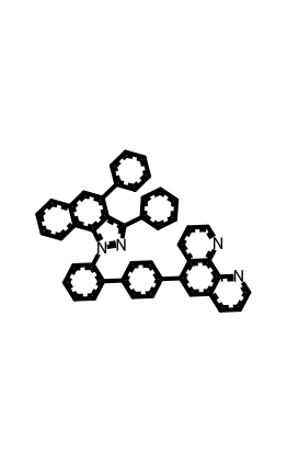 c1ccc(-c2cc3ccccc3c3c2c(-c2ccccc2)nn3-c2ccccc2-c2ccc(-c3cc4cccnc4c4ncccc34)cc2)cc1